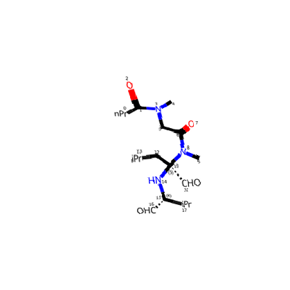 CCCC(=O)N(C)CC(=O)N(C)[C@](C=O)(CC(C)C)N[C@@H](C=O)C(C)C